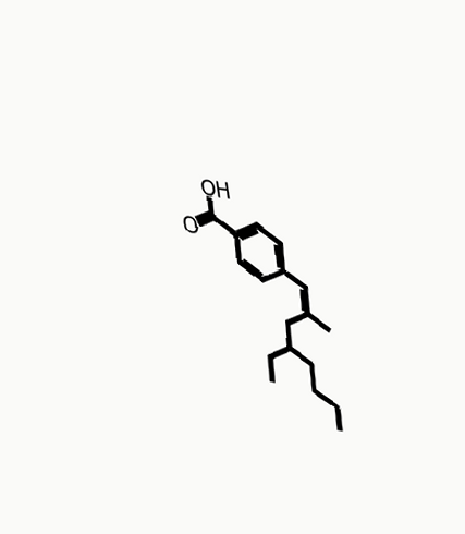 CCCCC(CC)CC(C)=Cc1ccc(C(=O)O)cc1